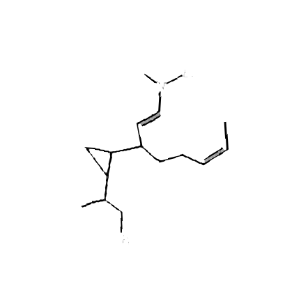 C/C=C\CCC(/C=C/N(C)CC)C1CC1C(C)CC(C)C